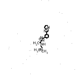 C=C(NCCN(C)C)c1nc(-c2cccc(-c3cn4ncccc4n3)c2)no1